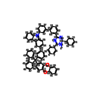 CN1C(c2ccccc2)=NC(c2cccc(-c3cccc(-n4c5ccccc5c5cc(-c6ccc7c(c6)C6(c8ccccc8-c8ccccc86)c6ccc8c(c6-7)Oc6ccccc6O8)ccc54)c3)c2)=NC1c1ccccc1